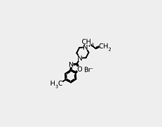 C=CC[N+]1(C)CCN(c2nc3cc(C)ccc3o2)CC1.[Br-]